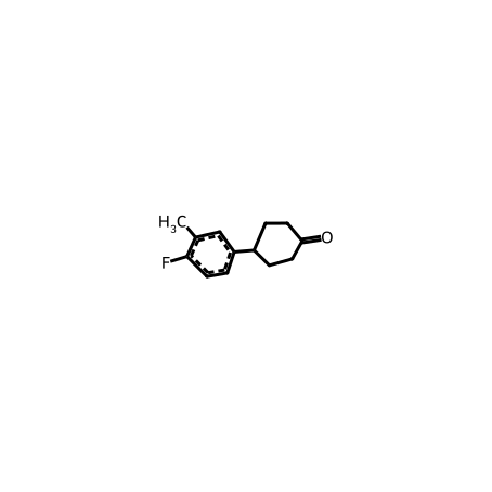 Cc1cc(C2CCC(=O)CC2)ccc1F